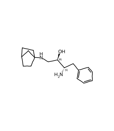 N[C@@H](Cc1ccccc1)[C@H](O)CNC12CCC(CC1)C2